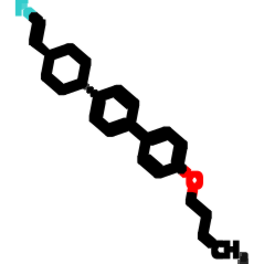 CCCCOc1ccc(-c2ccc([C@H]3CC[C@H](C=CF)CC3)cc2)cc1